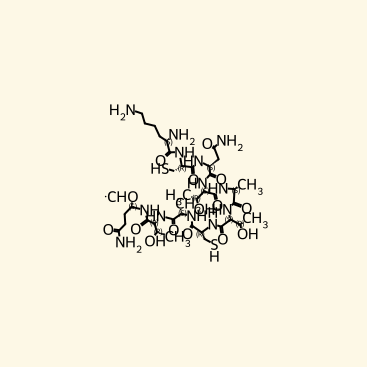 C[C@H](NC(=O)[C@H](CS)NC(=O)[C@@H](NC(=O)[C@H](C)NC(=O)[C@@H](NC(=O)[C@H](CC(N)=O)NC(=O)[C@H](CS)NC(=O)[C@@H](N)CCCCN)[C@@H](C)O)[C@@H](C)O)C(=O)N[C@H](C(=O)N[C@H]([C]=O)CCC(N)=O)[C@@H](C)O